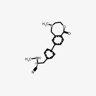 CN[C@H](C#N)Cc1ccc(-c2ccc3c(c2)CN(C)CCOC3=O)cc1